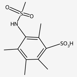 Cc1c(C)c(NS(C)(=O)=O)c(C)c(S(=O)(=O)O)c1C